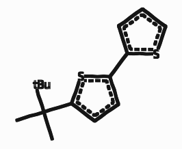 CC(C)(C)C(C)(C)c1ccc(-c2cccs2)s1